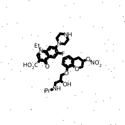 CC(C)NCC(O)COc1cccc2c1OCC(O[N+](=O)[O-])C2.CCn1cc(C(=O)O)c(=O)c2cc(F)c(N3CCNCC3)cc21